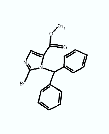 COC(=O)c1cnc(Br)n1C(c1ccccc1)c1ccccc1